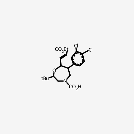 CCOC(=O)C=CC1OC(C(C)(C)C)CN(C(=O)O)CC1c1ccc(Cl)c(Cl)c1